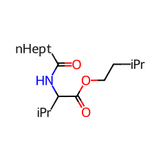 CCCCCCCC(=O)NC(C(=O)OCCC(C)C)C(C)C